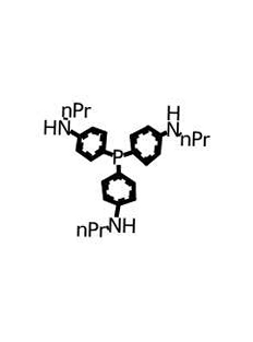 CCCNc1ccc(P(c2ccc(NCCC)cc2)c2ccc(NCCC)cc2)cc1